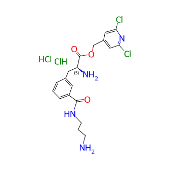 Cl.Cl.NCCCNC(=O)c1cccc(C[C@H](N)C(=O)OCc2cc(Cl)nc(Cl)c2)c1